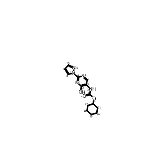 O=C(Nc1cnc(-n2cccn2)nc1O)OC1CCCCC1